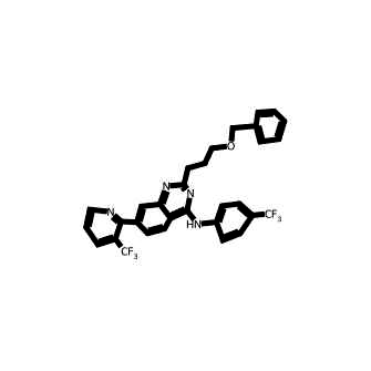 FC(F)(F)c1ccc(Nc2nc(CCCOCc3ccccc3)nc3cc(-c4ncccc4C(F)(F)F)ccc23)cc1